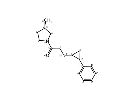 C[C@@H]1CCN(C(=O)CNC2CC2c2ccccc2)C1